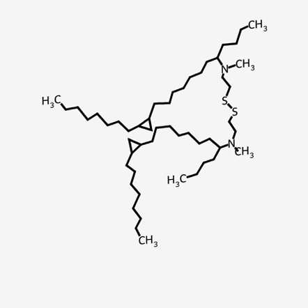 CCCCCCCCC1CC1CCCCCCCC(CCCC)N(C)CCSSCCN(C)C(CCCC)CCCCCCCC1CC1CCCCCCCC